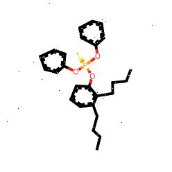 CCCCc1cccc(OP(=S)(Oc2ccccc2)Oc2ccccc2)c1CCCC